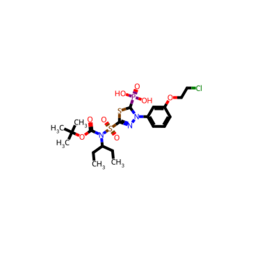 CCC(CC)N(C(=O)OC(C)(C)C)S(=O)(=O)C1=NN(c2cccc(OCCCl)c2)C(P(=O)(O)O)S1